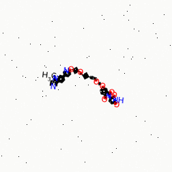 Cn1c2ccncc2c2ccc(-c3ccc(O[C@H]4C[C@H](OC[C@H]5C[C@H](C#CCOCCOc6ccc7c(c6)C(=O)N(C6CCC(=O)NC6=O)C7=O)C5)C4)nc3)cc21